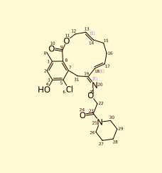 Cc1cc(O)c(Cl)c2c1C(=O)OC/C=C/CC/C=C/C(=N/OCC(=O)N1CCCCC1)C2